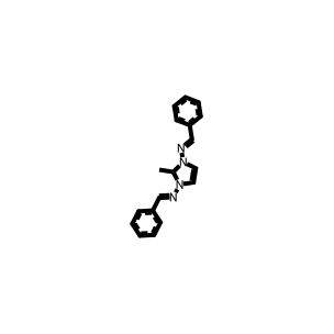 CC1N(N=Cc2ccccc2)C=CN1N=Cc1ccccc1